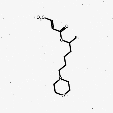 CCC(CCCCN1CCOCC1)OC(=O)C=CC(=O)O